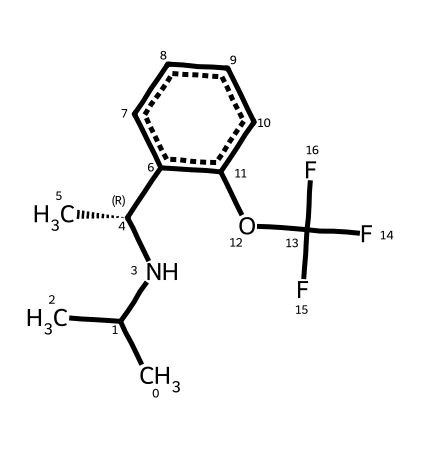 CC(C)N[C@H](C)c1ccccc1OC(F)(F)F